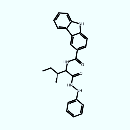 CC[C@H](C)C(NC(=O)c1ccc2[nH]c3ccccc3c2c1)C(=O)NNc1ccccc1